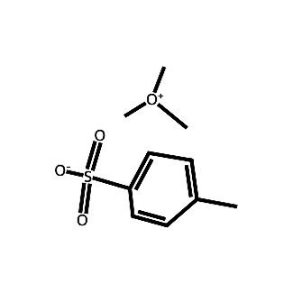 C[O+](C)C.Cc1ccc(S(=O)(=O)[O-])cc1